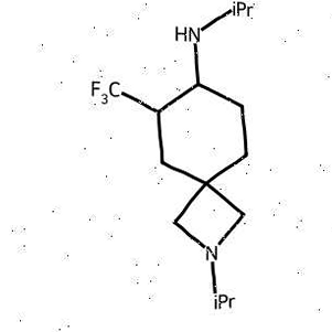 CC(C)NC1CCC2(CC1C(F)(F)F)CN(C(C)C)C2